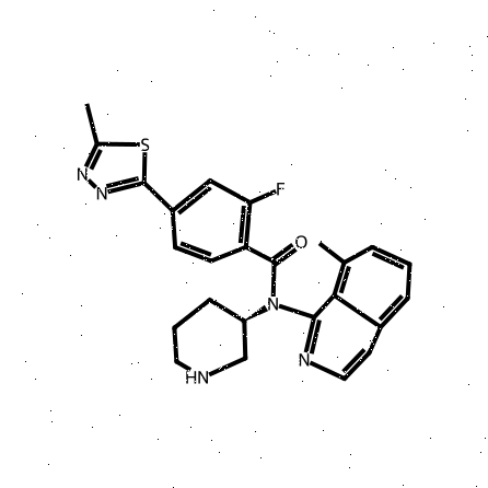 Cc1nnc(-c2ccc(C(=O)N(c3nccc4cccc(C)c34)[C@@H]3CCCNC3)c(F)c2)s1